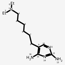 CCN(CC)CCCCCCc1cnc(N)nc1N